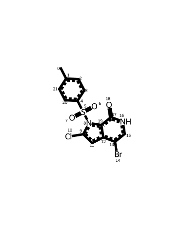 Cc1ccc(S(=O)(=O)n2c(Cl)cc3c(Br)c[nH]c(=O)c32)cc1